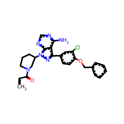 C=CC(=O)N1CCCC(n2nc(-c3ccc(OCc4ccccc4)c(Cl)c3)c3c(N)ncnc32)C1